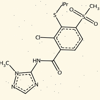 CC(C)Sc1c(S(C)(=O)=O)ccc(C(=O)Nc2ncnn2C)c1Cl